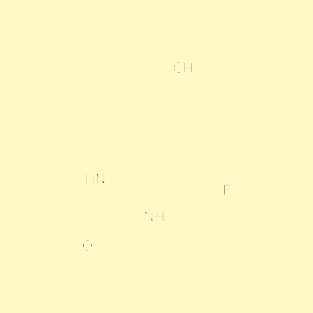 Cc1cc(F)c2[nH]c(=O)[nH]c2c1